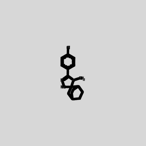 CN1C(c2ccc(Cl)cc2)=NNC12CC1CCC2CC1